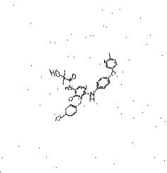 Cc1ccc(Oc2ccc(Nc3ncc(NC(=O)C(C)(C)O)c(=O)n3CC3=CCC(Cl)C=C3)cc2)cn1